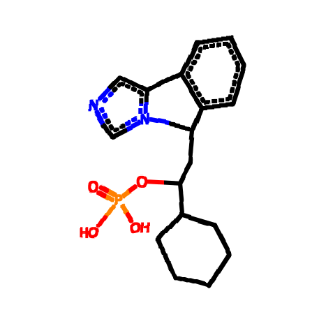 O=P(O)(O)OC(CC1c2ccccc2-c2cncn21)C1CCCCC1